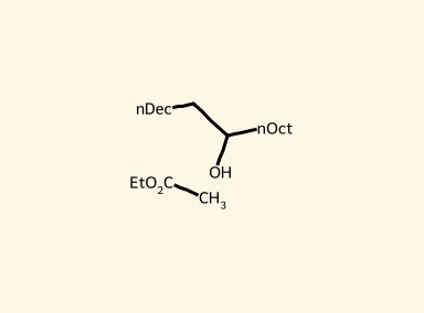 CCCCCCCCCCCC(O)CCCCCCCC.CCOC(C)=O